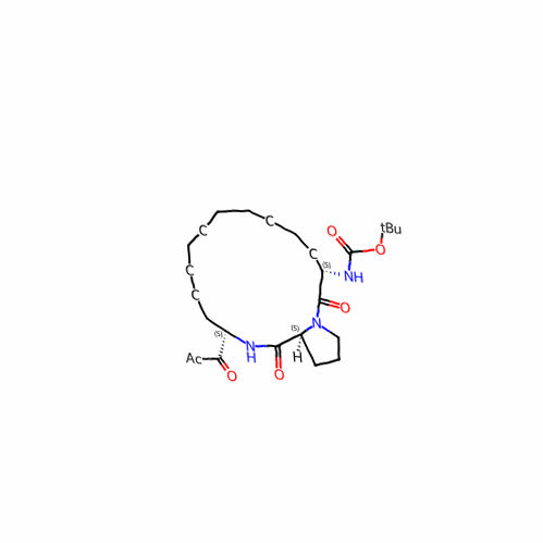 CC(=O)C(=O)[C@@H]1CCCCCCCCCC[C@H](NC(=O)OC(C)(C)C)C(=O)N2CCC[C@H]2C(=O)N1